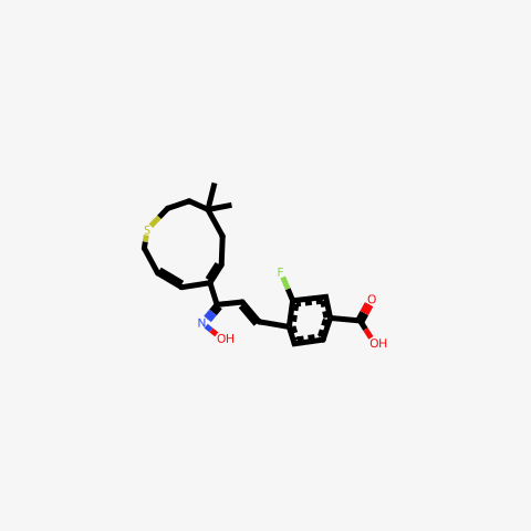 CC1(C)C/C=C(C(/C=C/c2ccc(C(=O)O)cc2F)=N/O)\C=C/CSCC1